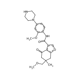 COCC1(C)CC(=O)c2c(C(=O)Nc3ccc(N4CCNCC4)cc3OC)coc2C1